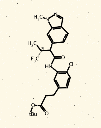 C[C@H](C(C(=O)Nc1cc(CCC(=O)OC(C)(C)C)ccc1Cl)c1ccc2cnn(C)c2c1)C(F)(F)F